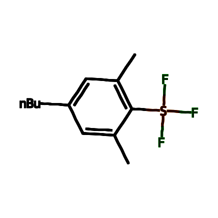 CCCCc1cc(C)c(S(F)(F)F)c(C)c1